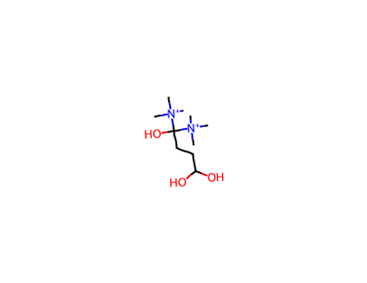 C[N+](C)(C)C(O)(CCC(O)O)[N+](C)(C)C